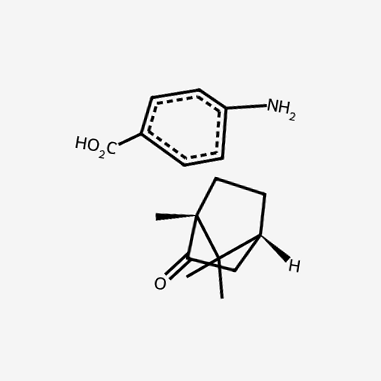 CC1(C)[C@@H]2CC[C@@]1(C)C(=O)C2.Nc1ccc(C(=O)O)cc1